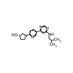 CC(C)CNc1cc(-c2ccc(N3CC[C@H](O)C3)nc2)ncn1